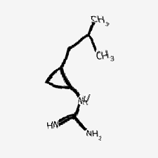 CC(C)CC1CC1NC(=N)N